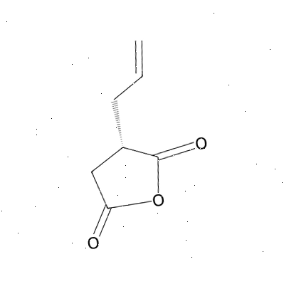 C=CC[C@H]1CC(=O)OC1=O